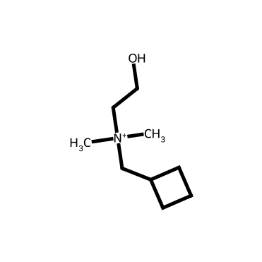 C[N+](C)(CCO)CC1CCC1